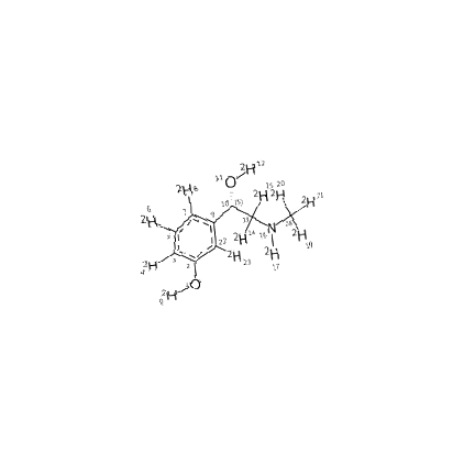 [2H]Oc1c([2H])c([2H])c([2H])c([C@H](O[2H])C([2H])([2H])N([2H])C([2H])([2H])[2H])c1[2H]